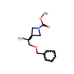 CC(C)(C)OC(=O)N1CC(=C(COCc2ccccc2)[N+](=O)[O-])C1